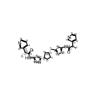 C[C@@H](C(=O)Nc1nnc(C[C@@H]2CC[C@H](c3nnc(NC(=O)[C@H](C)c4cccnc4)s3)C2)s1)c1cccnc1